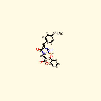 CC(=O)Nc1ccc(/C=C2\NC(=S)N(/C=C3/C(=O)Oc4ccccc4C3=O)C2=O)cc1